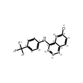 FC(F)(F)c1ccc(Nc2nnnc3ccc(Cl)nc23)cc1